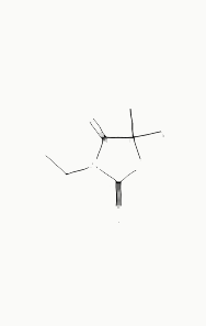 [CH2]CN1C(=O)OC(C)(C)C1=O